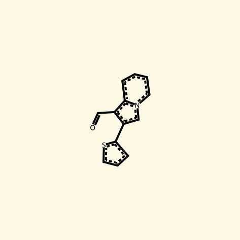 O=Cc1c(-c2cccs2)cn2ccccc12